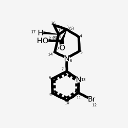 O=C(O)[C@@]12CCN(c3cccc(Br)n3)C[C@@H]1C2